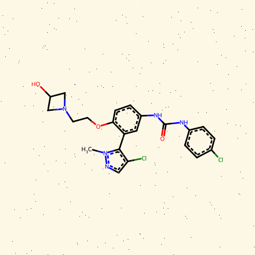 Cn1ncc(Cl)c1-c1cc(NC(=O)Nc2ccc(Cl)cc2)ccc1OCCN1CC(O)C1